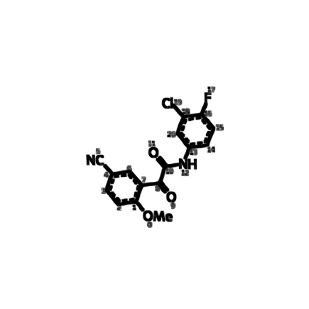 COc1ccc(C#N)cc1C(=O)C(=O)Nc1ccc(F)c(Cl)c1